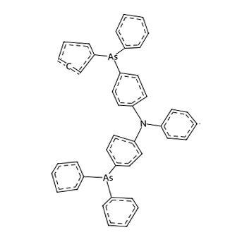 [c]1ccc(N(c2ccc([As](c3ccccc3)c3ccccc3)cc2)c2ccc([As](c3ccccc3)c3ccccc3)cc2)cc1